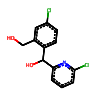 OCc1cc(Cl)ccc1C(O)c1cccc(Cl)n1